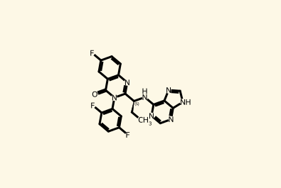 CC[C@H](Nc1ncnc2[nH]cnc12)c1nc2ccc(F)cc2c(=O)n1-c1cc(F)ccc1F